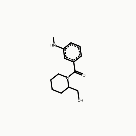 O=C(c1cccc(NI)c1)N1CCCCC1CO